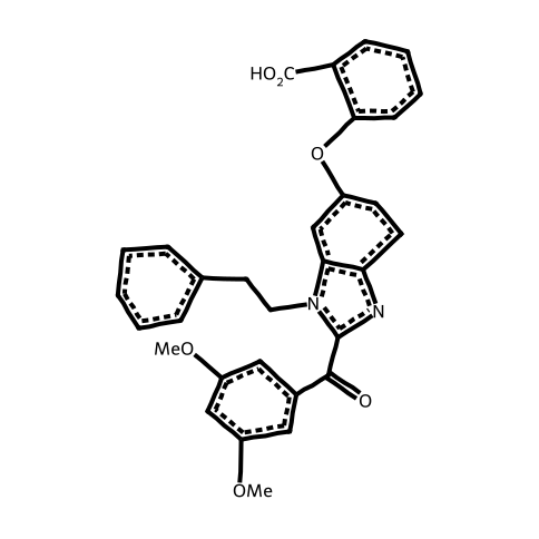 COc1cc(OC)cc(C(=O)c2nc3ccc(Oc4ccccc4C(=O)O)cc3n2CCc2ccccc2)c1